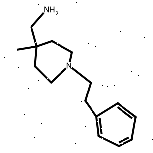 CC1(CN)CCN(CCc2ccccc2)CC1